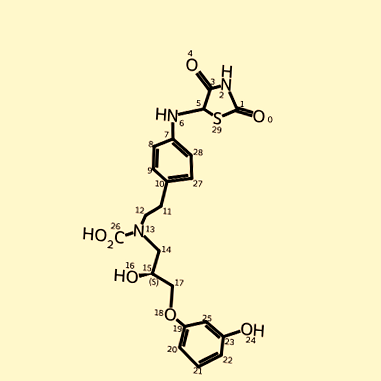 O=C1NC(=O)C(Nc2ccc(CCN(C[C@H](O)COc3cccc(O)c3)C(=O)O)cc2)S1